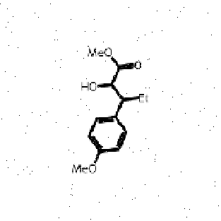 CCC(c1ccc(OC)cc1)C(O)C(=O)OC